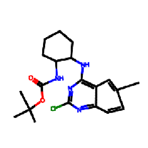 Cc1ccc2nc(Cl)nc(NC3CCCCC3NC(=O)OC(C)(C)C)c2c1